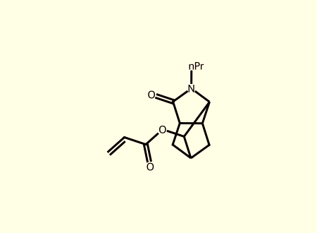 C=CC(=O)OC1C2CC3C(=O)N(CCC)C1C3C2